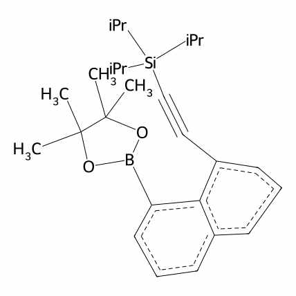 CC(C)[Si](C#Cc1cccc2cccc(B3OC(C)(C)C(C)(C)O3)c12)(C(C)C)C(C)C